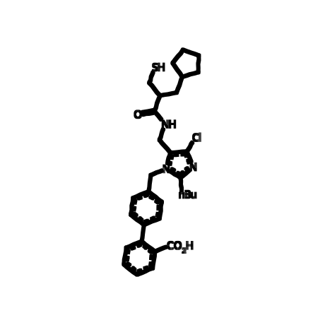 CCCCc1nc(Cl)c(CNC(=O)C(CS)CC2CCCC2)n1Cc1ccc(-c2ccccc2C(=O)O)cc1